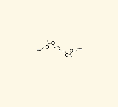 C=CCOC(C)OC/C=C/COC(C)OCC=C